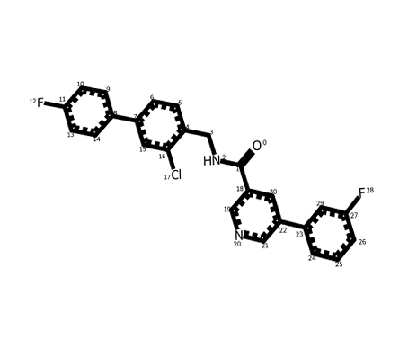 O=C(NCc1ccc(-c2ccc(F)cc2)cc1Cl)c1cncc(-c2cccc(F)c2)c1